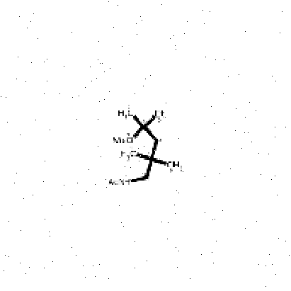 CCC(C)(CC(C)(C)CNC(C)=O)OC